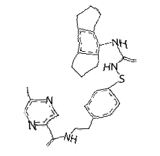 C=C(NSc1ccc(CCNC(=C)c2cnc(C)cn2)cc1)Nc1c2c(cc3c1CCC3)CCC2